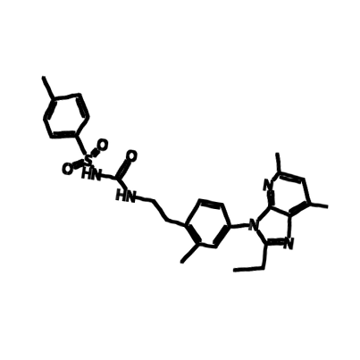 CCc1nc2c(C)cc(C)nc2n1-c1ccc(CCNC(=O)NS(=O)(=O)c2ccc(C)cc2)c(C)c1